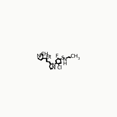 C/C=C/NSc1cc(Cl)c(N2N=CC/C2=C\C=C(/CC)c2ccnn2C)cc1F